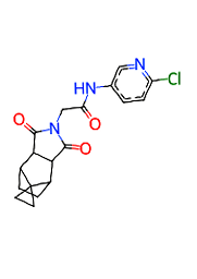 O=C(CN1C(=O)C2C(C1=O)C1CCC2C12CC2)Nc1ccc(Cl)nc1